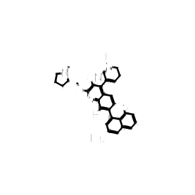 CN1CCC[C@H]1COc1nc2c(F)c(-c3cc(O)cc4cccc(F)c34)ccc2c(C2=CCCNC2)c1C#N